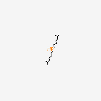 CC(C)CCCCCPCCCCCC(C)C